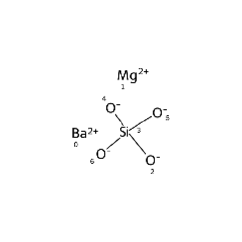 [Ba+2].[Mg+2].[O-][Si]([O-])([O-])[O-]